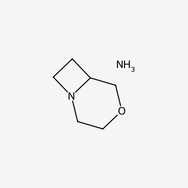 C1CN2CCC2CO1.N